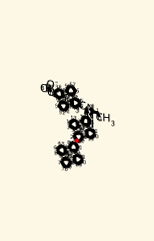 CCc1nc(C)c[nH]1.[O-]B([O-])[O-].c1ccc([P+](c2ccccc2)(c2ccccc2)c2ccccc2)cc1.c1ccc([P+](c2ccccc2)(c2ccccc2)c2ccccc2)cc1.c1ccc([P+](c2ccccc2)(c2ccccc2)c2ccccc2)cc1